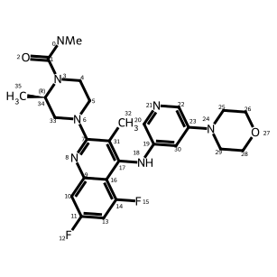 CNC(=O)N1CCN(c2nc3cc(F)cc(F)c3c(Nc3cncc(N4CCOCC4)c3)c2C)C[C@H]1C